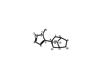 Cn1nccc1C1CC2CCC(C1)N2